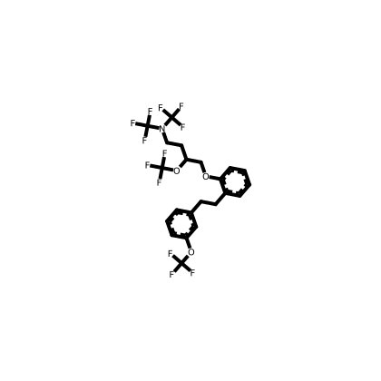 FC(F)(F)Oc1cccc(CCc2ccccc2OCC(CCN(C(F)(F)F)C(F)(F)F)OC(F)(F)F)c1